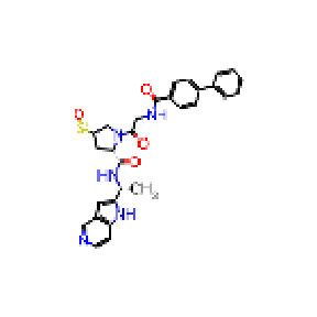 C[C@@H](NC(=O)[C@@H]1C[C@@H]([S+]=O)CN1C(=O)CNC(=O)c1ccc(-c2ccccc2)cc1)c1cc2cnccc2[nH]1